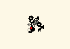 CC(C)CN(C[C@@H](O)[C@H](Cc1ccccc1)NC(=O)OC1C2COC3OCC1C3C2)S(=O)(=O)c1ccc(C2(C#N)CC2)cc1